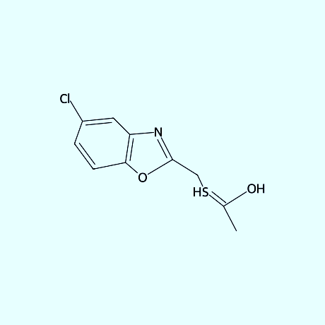 CC(O)=[SH]Cc1nc2cc(Cl)ccc2o1